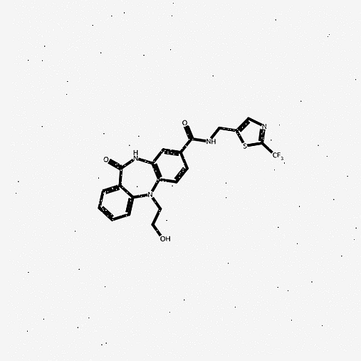 O=C(NCc1cnc(C(F)(F)F)s1)c1ccc2c(c1)NC(=O)c1ccccc1N2CCO